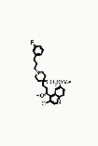 COc1ccc2ncc(Cl)c([C@@H](O)CCC3(C(=O)O)CCN(CCCc4cccc(F)c4)CC3)c2c1